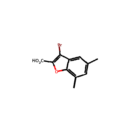 Cc1cc(C)c2oc(C(=O)O)c(Br)c2c1